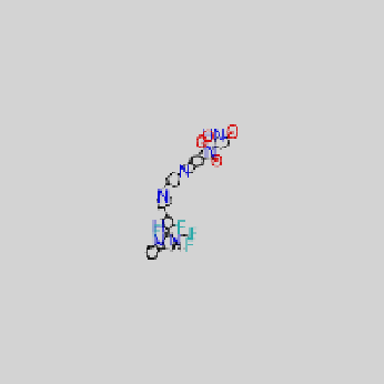 C[C@@H]1Cc2c([nH]c3ccccc23)[C@@H](c2c(F)cc(C3CCN(CC4CCC(N5Cc6cc7c(cc6C5)C(=O)N(C5CCC(=O)NC5=O)C7=O)CC4)CC3)cc2F)N1CC(F)F